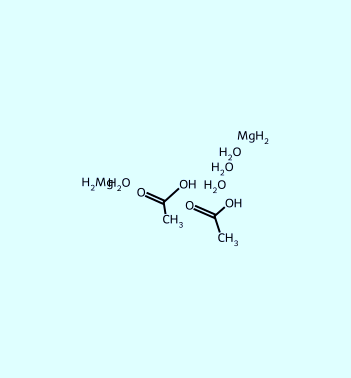 CC(=O)O.CC(=O)O.O.O.O.O.[MgH2].[MgH2]